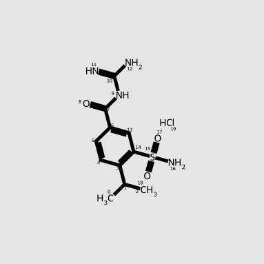 CC(C)c1ccc(C(=O)NC(=N)N)cc1S(N)(=O)=O.Cl